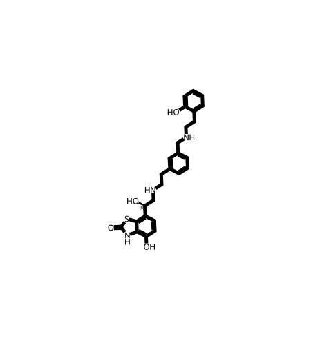 O=c1[nH]c2c(O)ccc([C@@H](O)CNCCc3cccc(CNCCc4ccccc4O)c3)c2s1